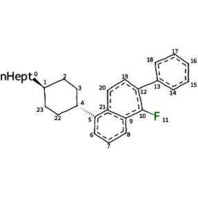 CCCCCCC[C@H]1CC[C@H](c2cccc3c(F)c(-c4ccccc4)ccc32)CC1